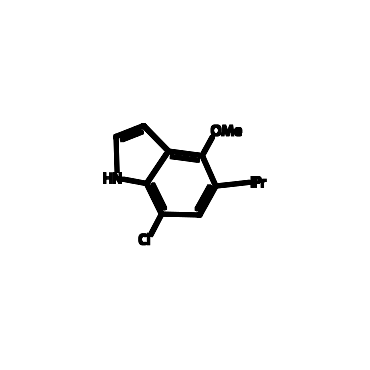 COc1c(C(C)C)cc(Cl)c2[nH]ccc12